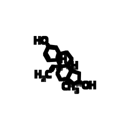 C=C[C@]12CC[C@]3(C)C[C@H](O)C[C@H]3[C@@H]1CCc1cc(O)ccc12